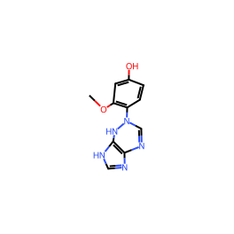 COc1cc(O)ccc1N1C=Nc2nc[nH]c2N1